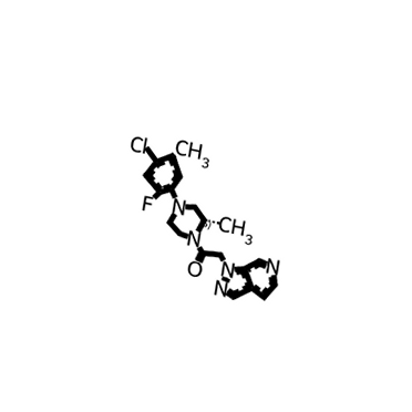 Cc1cc(N2CCN(C(=O)Cn3ncc4ccncc43)[C@@H](C)C2)c(F)cc1Cl